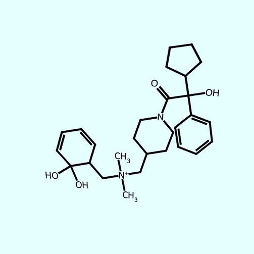 C[N+](C)(CC1CCN(C(=O)C(O)(c2ccccc2)C2CCCC2)CC1)CC1C=CC=CC1(O)O